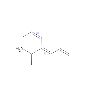 C=C/C=C(\C=C/C)C(C)N